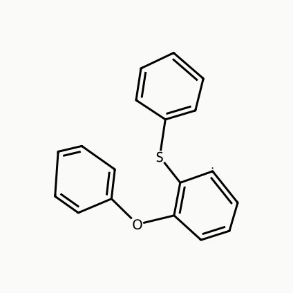 [c]1cccc(Oc2ccccc2)c1Sc1ccccc1